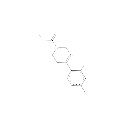 Cc1cc([N+](=O)[O-])cnc1C1=CCN(C(=O)OC(C)(C)C)CC1